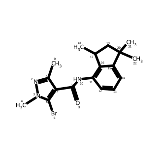 Cc1nn(C)c(Br)c1C(=O)Nc1cccc2c1C(C)CC2(C)C